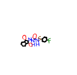 O=C(NN=c1c(=O)c2ccccc2c1=O)NSc1ccc(F)cc1